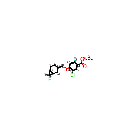 CC(C)(C)OC(=O)c1cc(Cl)c(OCC2CCC3C(C2)C3(F)F)cc1F